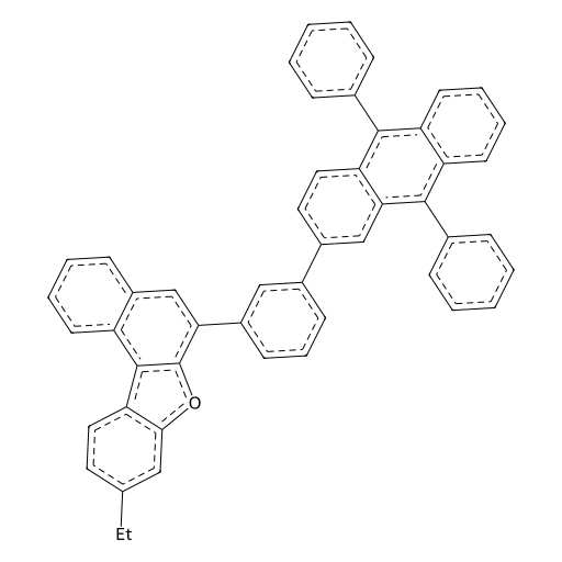 CCc1ccc2c(c1)oc1c(-c3cccc(-c4ccc5c(-c6ccccc6)c6ccccc6c(-c6ccccc6)c5c4)c3)cc3ccccc3c12